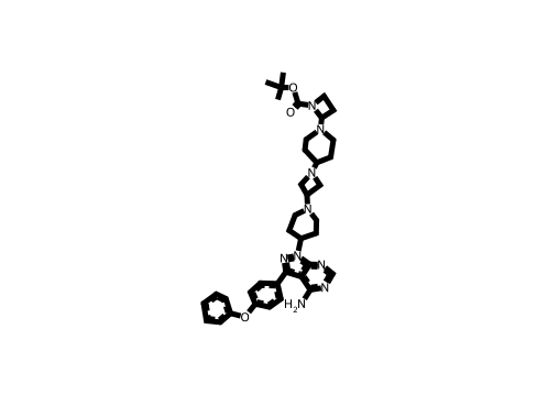 CC(C)(C)OC(=O)N1CCC1N1CCC(N2CC(N3CCC(n4nc(-c5ccc(Oc6ccccc6)cc5)c5c(N)ncnc54)CC3)C2)CC1